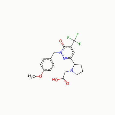 COc1ccc(Cn2nc(C3CCCN3CC(=O)O)cc(C(F)(F)F)c2=O)cc1